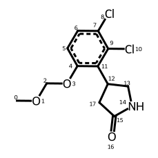 COCOc1ccc(Cl)c(Cl)c1C1CNC(=O)C1